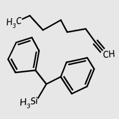 C#CCCCCCC.[SiH3]C(c1ccccc1)c1ccccc1